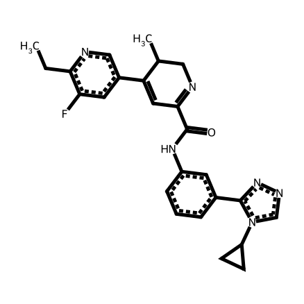 CCc1ncc(C2=CC(C(=O)Nc3cccc(-c4nncn4C4CC4)c3)=NCC2C)cc1F